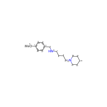 COc1ccc(CNCCCCN2CC[CH]CC2)cc1